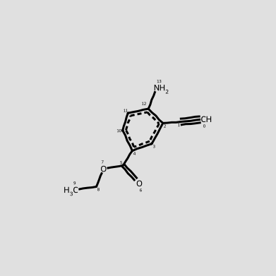 C#Cc1cc(C(=O)OCC)ccc1N